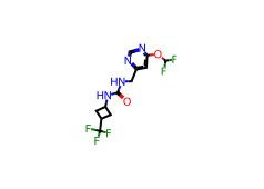 O=C(NCc1cc(OC(F)F)ncn1)NC1CC(C(F)(F)F)C1